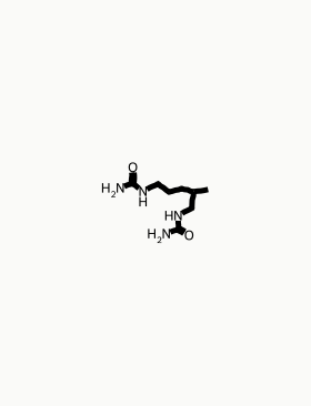 CC(CCCNC(N)=O)CNC(N)=O